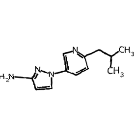 CC(C)Cc1ccc(-n2ccc(N)n2)cn1